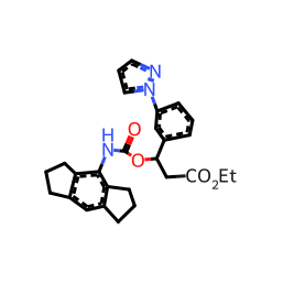 CCOC(=O)CC(OC(=O)Nc1c2c(cc3c1CCC3)CCC2)c1cccc(-n2cccn2)c1